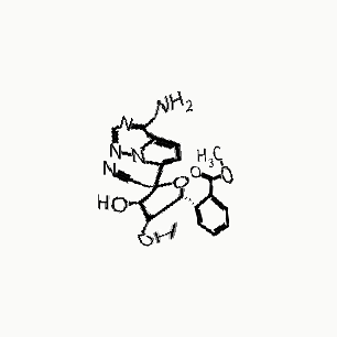 COC(=O)c1ccccc1[C@H]1O[C@@](C#N)(c2ccc3c(N)ncnn23)[C@H](O)[C@@H]1O